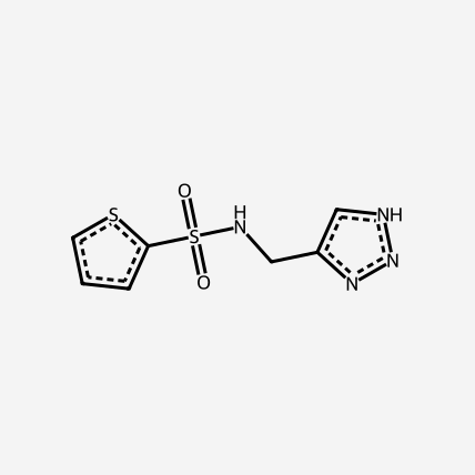 O=S(=O)(NCc1c[nH]nn1)c1cccs1